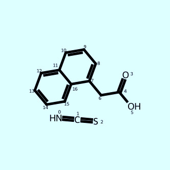 N=C=S.O=C(O)Cc1cccc2ccccc12